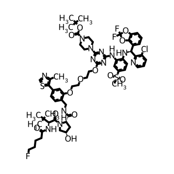 Cc1ncsc1-c1ccc(CNC(=O)[C@@H]2C[C@H](O)CN2C(=O)[C@@H](NC(=O)CCCCF)C(C)(C)C)c(OCCOCCOc2nc(Nc3cc(S(C)(=O)=O)ccc3N[C@@H](c3cccc4c3OC(F)(F)O4)c3ncccc3Cl)nc(N3CCN(C(=O)OC(C)(C)C)CC3)n2)c1